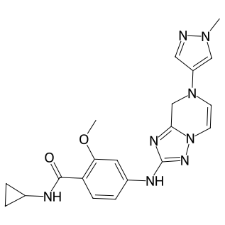 COc1cc(Nc2nc3n(n2)C=CN(c2cnn(C)c2)C3)ccc1C(=O)NC1CC1